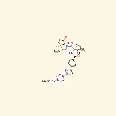 CCC(C)(C)[C@H](NC(=O)c1ccc(-c2csc(N3CCN(CCOC)CC3)n2)cc1)C(=O)N1C[C@H](NC)[C@H]2OCC(=O)[C@H]21